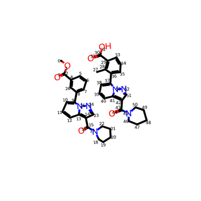 COC(=O)c1cccc(-c2cccc3c(C(=O)N4CCCCC4)cnn23)c1.Cc1c(C(=O)O)cccc1-c1cccc2c(C(=O)N3CCCCC3)cnn12